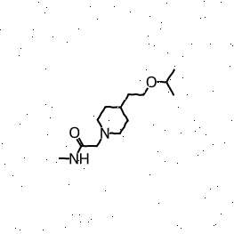 CNC(=O)CN1CCC(CCOC(C)C)CC1